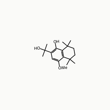 COc1cc(C(C)(C)O)c(O)c2c1C(C)(C)CCC2(C)C